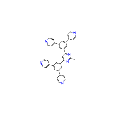 Cc1nc(-c2cc(-c3ccncc3)cc(-c3ccncc3)c2)cc(-c2cc(-c3ccncc3)cc(-c3ccncc3)c2)n1